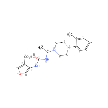 Cc1ccccc1N1CCN(C(C)NC(=O)Nc2cocc2C(=O)O)CC1